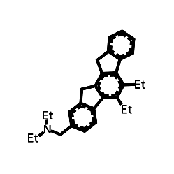 CCc1c(CC)c2c(c3c1-c1ccccc1C3)Cc1cc(CN(CC)CC)ccc1-2